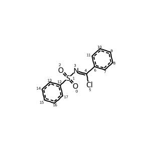 O=S(=O)(N=C(Cl)c1ccccc1)c1ccccc1